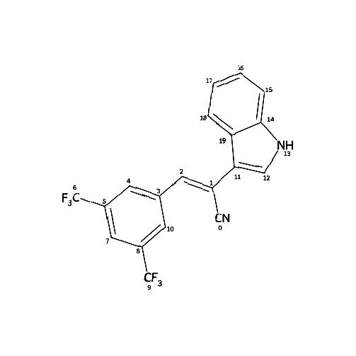 N#CC(=Cc1cc(C(F)(F)F)cc(C(F)(F)F)c1)c1c[nH]c2ccccc12